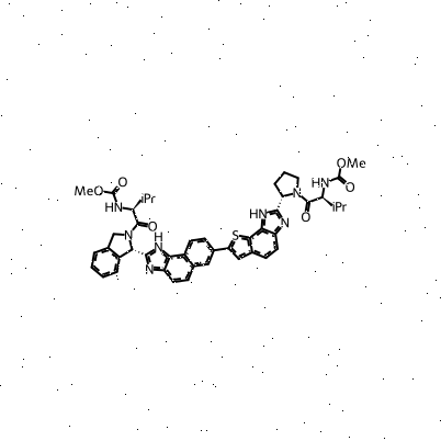 COC(=O)N[C@H](C(=O)N1Cc2ccccc2[C@H]1c1nc2ccc3cc(-c4cc5ccc6nc([C@@H]7CCCN7C(=O)[C@@H](NC(=O)OC)C(C)C)[nH]c6c5s4)ccc3c2[nH]1)C(C)C